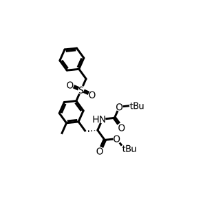 Cc1ccc(S(=O)(=O)Cc2ccccc2)cc1C[C@H](NC(=O)OC(C)(C)C)C(=O)OC(C)(C)C